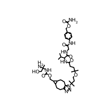 CC(C)C(NC(=O)CCC(C)(C)OCCC(C)(C)n1nnc2c1CCC1C(CC2)C1COC(=O)NC(C)(N)CO)C(=O)NCC(=O)Nc1ccc(COC(N)=O)cc1